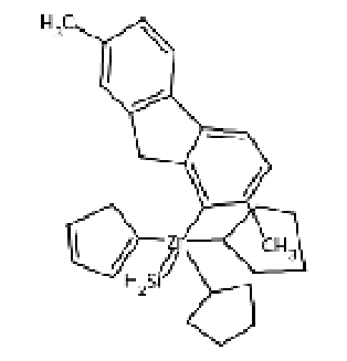 Cc1ccc2c(c1)Cc1c-2ccc(C)[c]1[Zr](=[SiH2])([C]1=CC=CC1)([CH]1CCCC1)[CH]1CCCC1